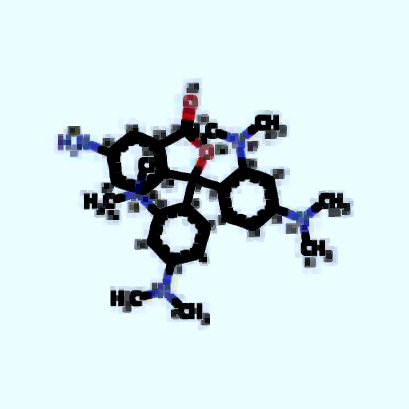 CN(C)c1ccc(C2(c3ccc(N(C)C)cc3N(C)C)OC(=O)c3cc(N)ccc32)c(N(C)C)c1